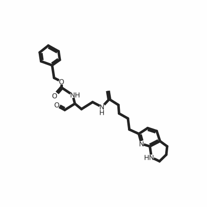 C=C(CCCCc1ccc2c(n1)NCCC2)NCCC(C=O)NC(=O)OCc1ccccc1